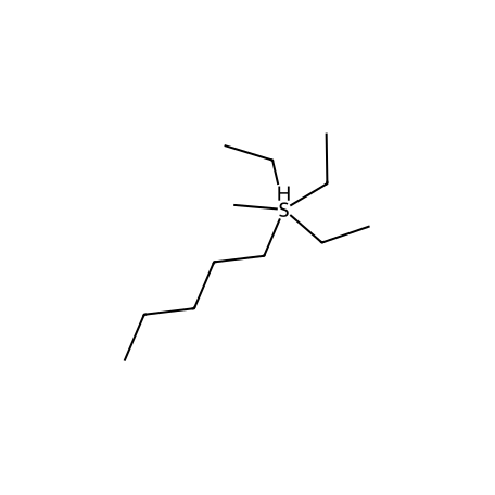 CCCCC[SH](C)(CC)(CC)CC